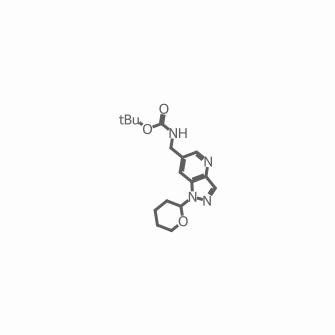 CC(C)(C)OC(=O)NCc1cnc2cnn(C3CCCCO3)c2c1